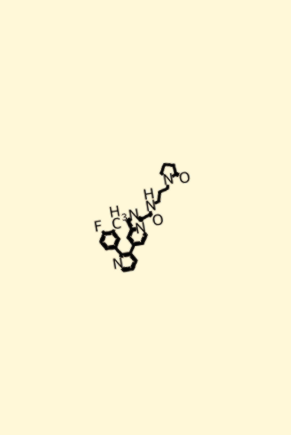 Cc1cc(-c2ncccc2-c2ccn3c(C(=O)NCCCN4CCCC4=O)ncc3c2)ccc1F